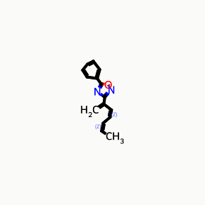 C=C(/C=C\C=C/C)c1noc(-c2ccccc2)n1